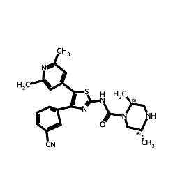 Cc1cc(-c2sc(NC(=O)N3C[C@@H](C)NC[C@@H]3C)nc2-c2cccc(C#N)c2)cc(C)n1